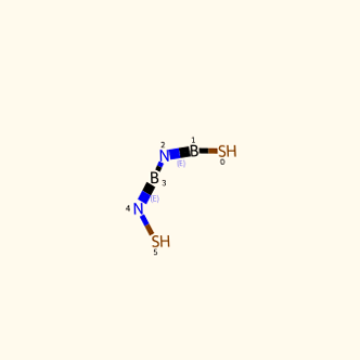 S/B=N/B=N/S